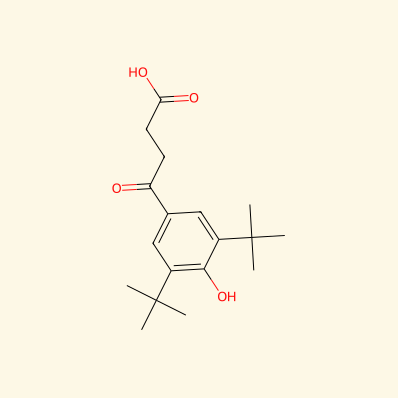 CC(C)(C)c1cc(C(=O)CCC(=O)O)cc(C(C)(C)C)c1O